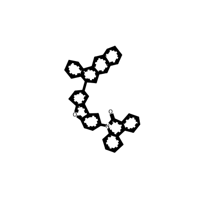 O=c1c2ccccc2c2ccccc2n1-c1ccc2oc3ccc(-c4cc5cc6ccccc6cc5c5ccccc45)cc3c2c1